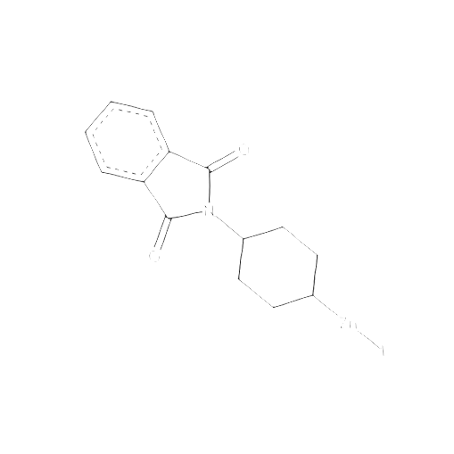 O=C1c2ccccc2C(=O)N1C1CC[CH]([Zn][I])CC1